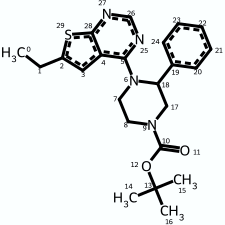 CCc1cc2c(N3CCN(C(=O)OC(C)(C)C)CC3c3ccccc3)ncnc2s1